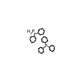 PC(c1ccccc1)c1ccccc1.c1ccc(P(c2ccccc2)c2ccccc2)cc1